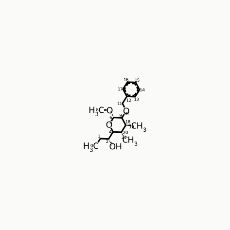 CC[C@@H](O)C1O[C@H](OC)C(OCc2ccccc2)[C@@H](C)[C@@H]1C